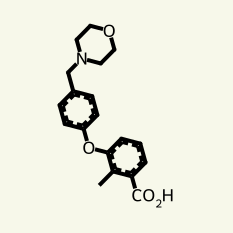 Cc1c(Oc2ccc(CN3CCOCC3)cc2)cccc1C(=O)O